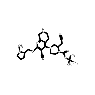 CN1CCCC1COc1nc2c(c(N3CCN(C(=O)OC(C)(C)C)C(CC#N)C3)c1C#N)CCNC2